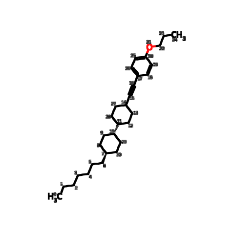 CCCCCCC[C@H]1CC[C@H](C2CCC(C#Cc3ccc(OCCC)cc3)CC2)CC1